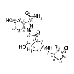 CC(CO)N(CC(=O)NCc1cccc(Cl)c1F)C(=O)Cn1nc(C(N)=O)c2cc(C#N)ccc21